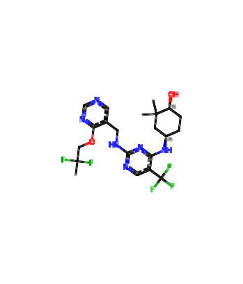 CC(F)(F)COc1ncncc1CNc1ncc(C(F)(F)F)c(N[C@@H]2CC[C@H](O)C(C)(C)C2)n1